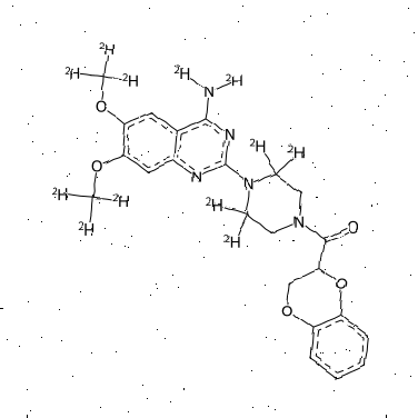 [2H]N([2H])c1nc(N2C([2H])([2H])CN(C(=O)C3COc4ccccc4O3)CC2([2H])[2H])nc2cc(OC([2H])([2H])[2H])c(OC([2H])([2H])[2H])cc12